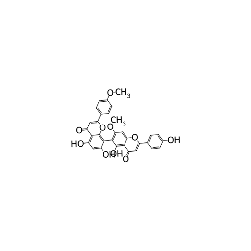 COc1ccc(-c2cc(=O)c3c(O)cc(O)c(-c4c(OC)cc5oc(-c6ccc(O)cc6)cc(=O)c5c4O)c3o2)cc1